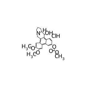 COC(=O)Oc1ccc2c3c(c4cc(OC)c(OC)cc4c2c1)CN1CCC[C@H]1[C@H]3O.Cl